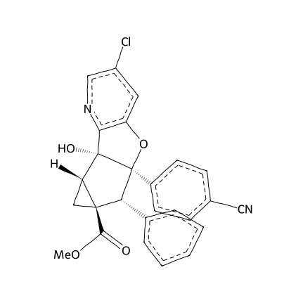 COC(=O)[C@@]12C[C@@H]1[C@@]1(O)c3ncc(Cl)cc3O[C@@]1(c1ccc(C#N)cc1)[C@@H]2c1ccccc1